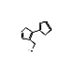 OCC1=C(C2=CC=CC2)CC=C1